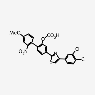 COc1ccc(-c2ccc(-c3nc(-c4ccc(Cl)c(Cl)c4)cs3)cc2OC(=O)O)c([N+](=O)[O-])c1